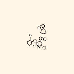 Cc1cccc(C2CC2)c1Oc1nnc(Cl)cc1OC(=O)c1ccc2c(c1)OCO2